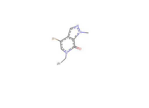 CC(C)Cn1cc(Br)c2cnn(C)c2c1=O